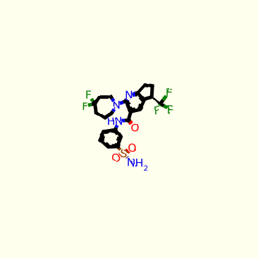 NS(=O)(=O)c1cccc(NC(=O)c2cc3c(nc2N2CCCC(F)(F)CC2)CC[C@H]3C(F)(F)F)c1